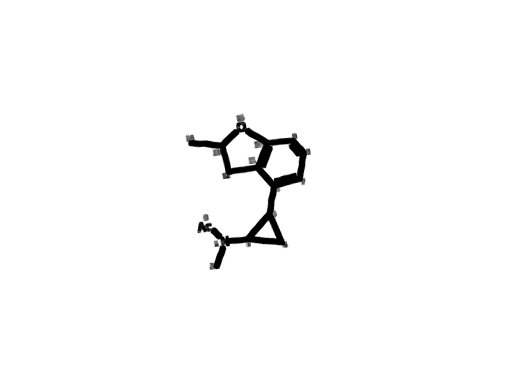 CC(=O)N(C)C1CC1c1cccc2c1CC(C)O2